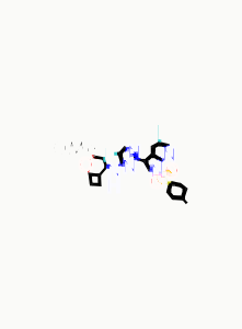 COC(=O)CC(Nc1nc(-c2cn(S(=O)(=O)c3ccc(C)cc3)c3ncc(F)cc23)ncc1F)C1CCC1